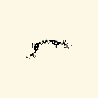 C=CC(=O)OCC1CC2C3C[C@@H](CC3COC(=O)CC(=O)OCC3CC4C5C[C@@H](CC5COC(=O)C(=C)C)[C@H]4C3)[C@H]2C1